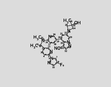 C[C@@H](c1ccc(-n2cc(F)cn2)nc1)N(C)c1ccc(-c2cc(N3CC(C)(O)C3)cn3ncc(C#N)c23)cn1